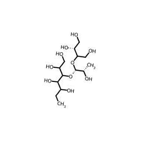 CCC(O)C(O)C(O[C@H](OC(CO)[C@H](O)CO)[C@H](C)O)C(O)CO